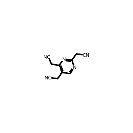 N#CCc1ncc(CC#N)c(CC#N)n1